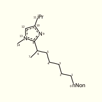 CCCCCCCCCCCCCCC(C)c1nc(C(C)C)cn1C